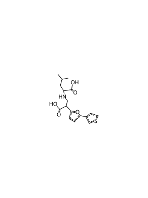 CC(C)CC(NCC(C(=O)O)c1ccc(-c2ccsc2)o1)C(=O)O